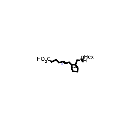 CCCCCCNCC1C2CCC(O2)C1C/C=C/CCCC(=O)O